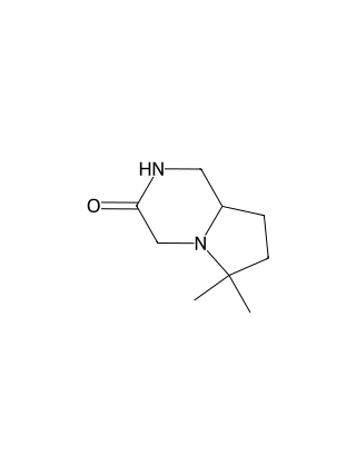 CC1(C)CCC2CNC(=O)CN21